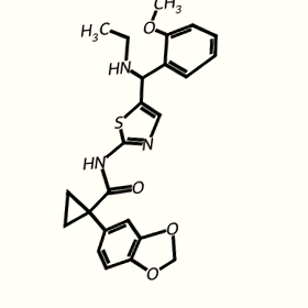 CCNC(c1cnc(NC(=O)C2(c3ccc4c(c3)OCO4)CC2)s1)c1ccccc1OC